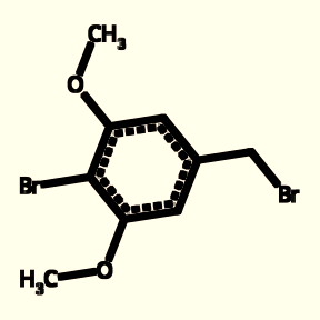 COc1cc(CBr)cc(OC)c1Br